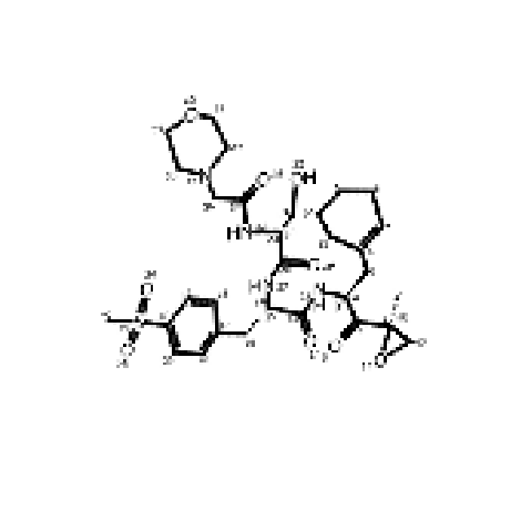 C[C@]1(C(=O)[C@H](CC2=CCCCC2)NC(=O)[C@H](Cc2ccc(S(C)(=O)=O)cc2)NC(=O)[C@H](CO)NC(=O)CN2CCOCC2)CO1